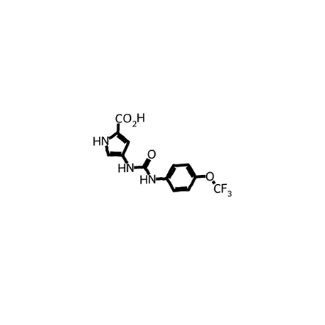 O=C(Nc1ccc(OC(F)(F)F)cc1)Nc1c[nH]c(C(=O)O)c1